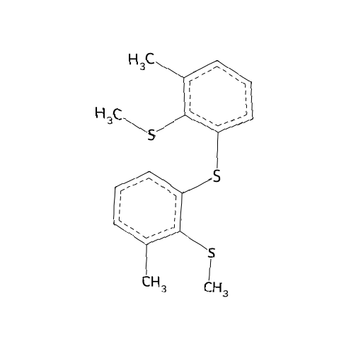 CSc1c(C)cccc1Sc1cccc(C)c1SC